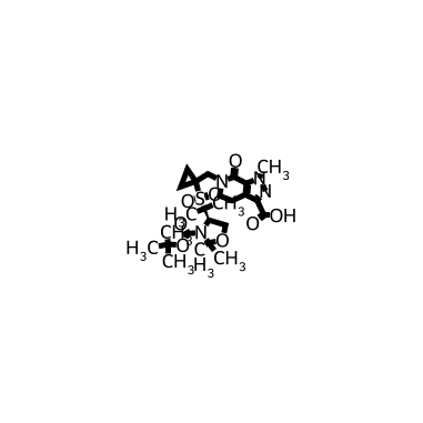 Cn1nc(C(=O)O)c2c1C(=O)N(CC1(S(=O)(=O)C(C)(C)[C@H]3COC(C)(C)N3C(=O)OC(C)(C)C)CC1)CC2